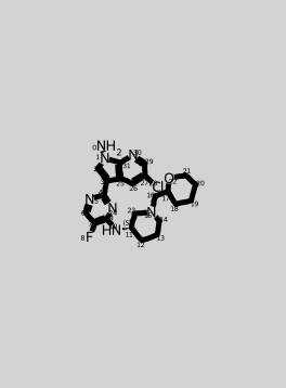 Nn1cc(-c2ncc(F)c(N[C@H]3CCCN(CC4CCCCO4)C3)n2)c2cc(Cl)cnc21